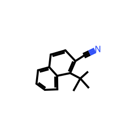 CC(C)(C)c1c(C#N)ccc2ccccc12